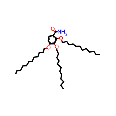 CCCCCCCCCCCCOc1ccc(C(N)=O)c(OCCCCCCCCCCCC)c1OCCCCCCCCCCCC